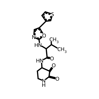 CC(C)C(Nc1ncc(-c2ccsc2)o1)C(=O)NC1CCNC(=O)C1=O